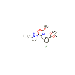 CC(C)(C)OC(=O)N[C@@H](Cc1cc(CF)cc(B2OC(C)(C)C(C)(C)O2)c1)C(=O)N1CCC[C@@H](C(=O)O)N1